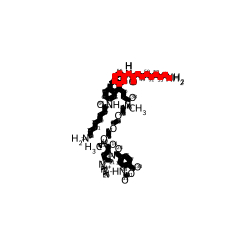 CN(CCOCCOCCON(C)C(=O)C1CC(N=[N+]=[N-])CN1C(=O)c1ccc2c(=O)oc(=O)[nH]c2c1)C(=O)CCC12c3cc(NC(=O)CCCCCCCN)ccc3C(c3ccc(NC(=O)CCCCCCCN)cc31)c1ccc(NC(=O)CCCCCCCN)cc12